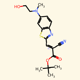 CN(CCO)c1ccc2nc(/C=C(\C#N)C(=O)OC(C)(C)C)sc2c1